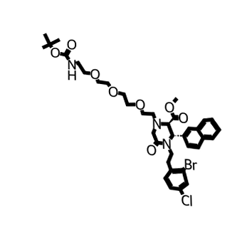 COC(=O)[C@H]1[C@H](c2ccc3ccccc3c2)N(CCc2ccc(Cl)cc2Br)C(=O)CN1CCOCCOCCOCCNC(=O)OC(C)(C)C